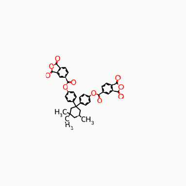 CC1CC(C)(C)CC(c2ccc(OC(=O)c3ccc4c(c3)C(=O)OC4=O)cc2)(c2ccc(OC(=O)c3ccc4c(c3)C(=O)OC4=O)cc2)C1